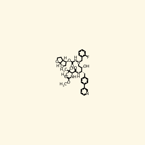 COC(=O)N[C@H](C(=O)N[C@@H](Cc1ccc(-c2cccnc2)cc1)[C@@H](O)CN(Cc1ccccc1F)NC(=O)O[C@H]1CO[C@H]2OCC[C@H]21)C(C)(C)C